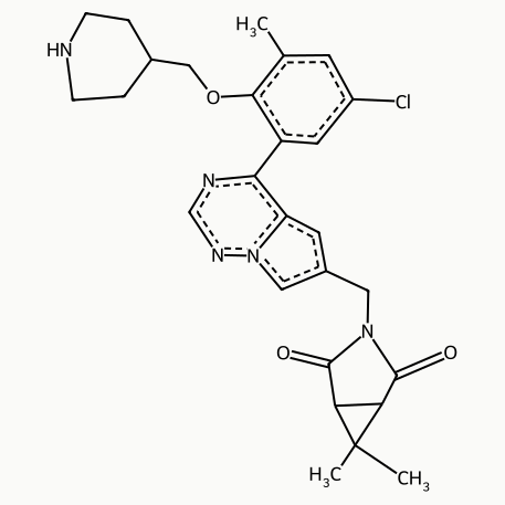 Cc1cc(Cl)cc(-c2ncnn3cc(CN4C(=O)C5C(C4=O)C5(C)C)cc23)c1OCC1CCNCC1